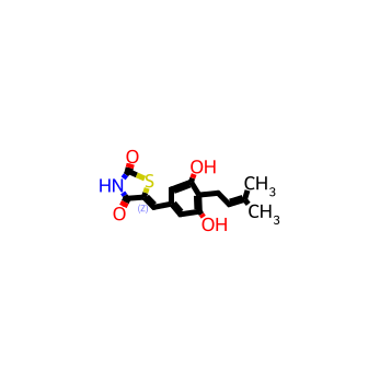 CC(C)=CCc1c(O)cc(/C=C2\SC(=O)NC2=O)cc1O